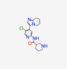 O=C(Nc1cc(-c2cnc3n2CCCC3)c(Cl)cn1)C1CCCNC1